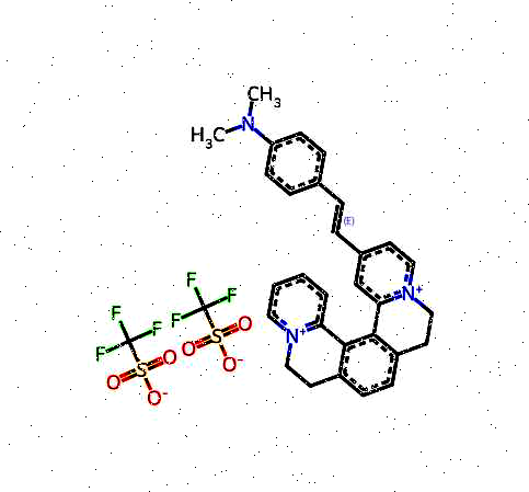 CN(C)c1ccc(/C=C/c2cc[n+]3c(c2)-c2c(ccc4c2-c2cccc[n+]2CC4)CC3)cc1.O=S(=O)([O-])C(F)(F)F.O=S(=O)([O-])C(F)(F)F